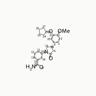 COc1ccc([C@@H]2CC(=O)N(c3cccc(C(N)=O)c3)C2)cc1OC1CCCC1